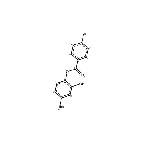 CCC(C)c1ccc(OC(=O)c2ccc(C)cc2)c(O)c1